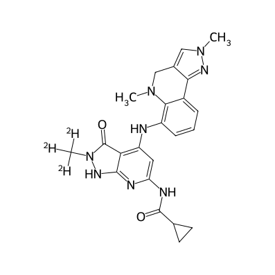 [2H]C([2H])([2H])n1[nH]c2nc(NC(=O)C3CC3)cc(Nc3cccc4c3N(C)Cc3cn(C)nc3-4)c2c1=O